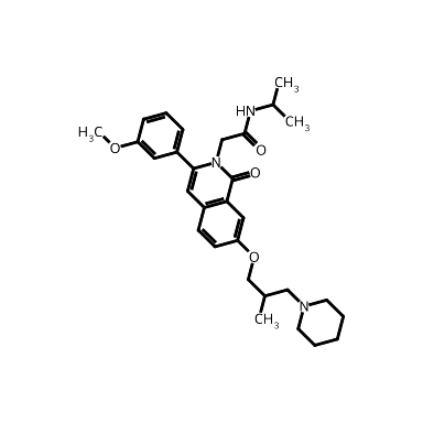 COc1cccc(-c2cc3ccc(OCC(C)CN4CCCCC4)cc3c(=O)n2CC(=O)NC(C)C)c1